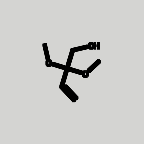 C=CC(CO)(OC)OC